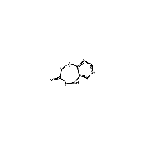 O=C1CNc2ccccc2NC1